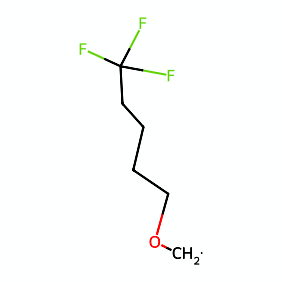 [CH2]OCCCCC(F)(F)F